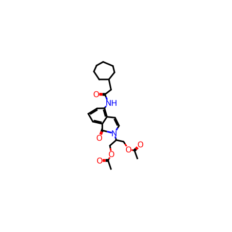 CC(=O)OCC(COC(C)=O)n1ccc2c(NC(=O)CC3CCCCCC3)cccc2c1=O